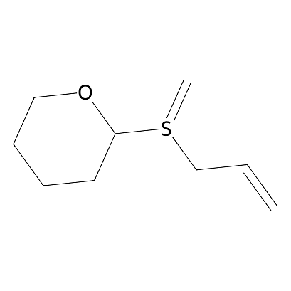 C=CCS(=C)C1CCCCO1